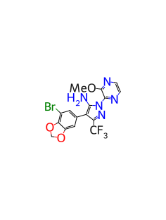 COc1nccnc1-n1nc(C(F)(F)F)c(-c2cc(Br)c3c(c2)OCO3)c1N